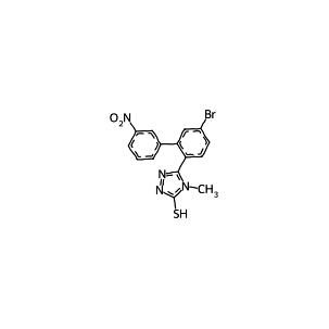 Cn1c(S)nnc1-c1ccc(Br)cc1-c1cccc([N+](=O)[O-])c1